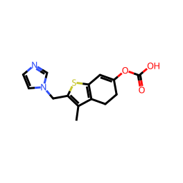 Cc1c(Cn2ccnc2)sc2c1CCC(OC(=O)O)=C2